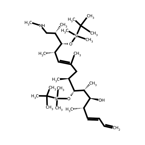 C=CC=C[C@H](C)[C@H](O)[C@@H](C)[C@H](O[Si](C)(C)C(C)(C)C)[C@@H](C)CC(C)=C[C@H](C)[C@@H](O[Si](C)(C)C(C)(C)C)[C@@H](C)CNC